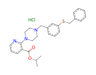 CC(C)OC(=O)c1cccnc1N1CCN(Cc2cccc(SCc3ccccc3)c2)CC1.Cl